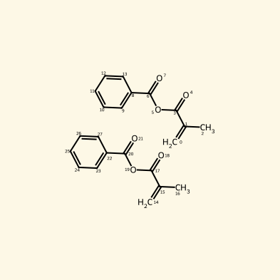 C=C(C)C(=O)OC(=O)c1ccccc1.C=C(C)C(=O)OC(=O)c1ccccc1